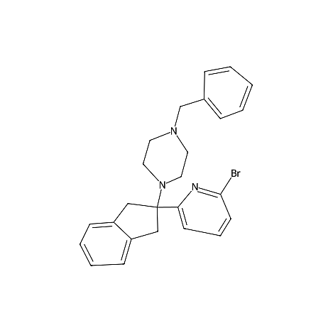 Brc1cccc(C2(N3CCN(Cc4ccccc4)CC3)Cc3ccccc3C2)n1